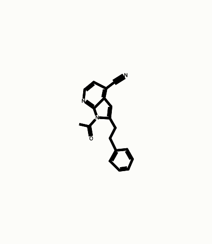 CC(=O)n1c(CCc2ccccc2)cc2c(C#N)ccnc21